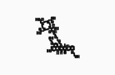 Cc1cn(Cc2c(Cl)cccc2OCCO)c(=O)c(NC(=O)N[C@@H](CC(=O)O)c2cccc(OCCO)c2)c1OCCOCCOCCNC(=O)C(C(=O)O)N1CCN(CC(=O)O)CCN(CC(=O)O)CCN(CC(=O)O)CC1